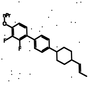 C/C=C/C1CCC(c2ccc(-c3ccc(OCCC)c(F)c3F)cc2)CC1